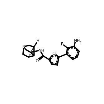 Nc1cccc(-c2ccc(C(=O)N[C@H]3CN4CCC3CC4)o2)c1F